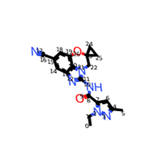 CCn1nc(C)cc1C(=O)Nc1nc2cc(C#N)cc3c2n1CC1(CC1)O3